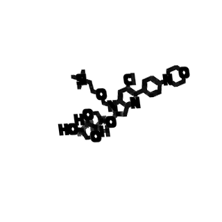 C[Si](C)(C)CCOCn1c(O[C@@H]2CO[C@H]3[C@@H]2OC[C@H]3O)cc2nc(-c3ccc(N4CCOCC4)cc3)c(Cl)cc21